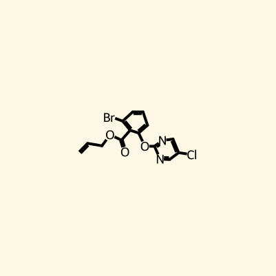 C=CCOC(=O)c1c(Br)cccc1Oc1ncc(Cl)cn1